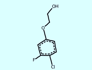 OCCOc1ccc(Cl)c(F)c1